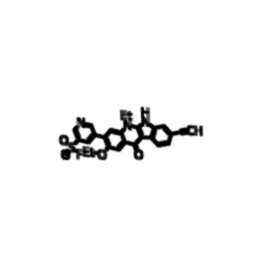 C#Cc1ccc2c(c1)[nH]c1c2c(=O)c2cc(OCC)c(-c3cncc(S(=O)(=O)F)c3)cc2n1CC